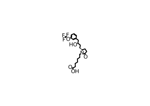 O=C(O)CCCCCCN1C(=O)CC[C@@H]1CC[C@@H](O)Cc1cccc(OC(F)(F)F)c1